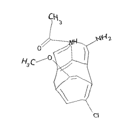 COc1cc2c(Cl)cc1-c1ccc(N)c-2c1NC(C)=O